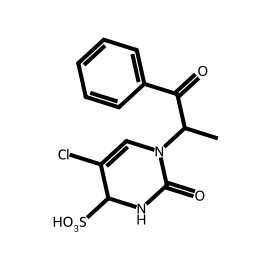 CC(C(=O)c1ccccc1)N1C=C(Cl)C(S(=O)(=O)O)NC1=O